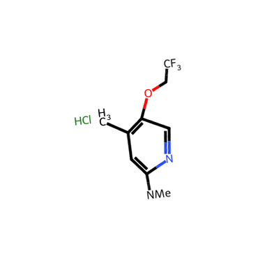 CNc1cc(C)c(OCC(F)(F)F)cn1.Cl